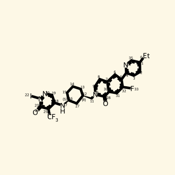 CCc1ccc(-c2cc3ccn(C[C@@H]4CCC[C@H](Nc5cnn(I)c(=O)c5C(F)(F)F)C4)c(=O)c3cc2F)nc1